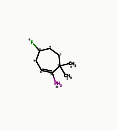 CC1(C)CCC(F)CC=C1P